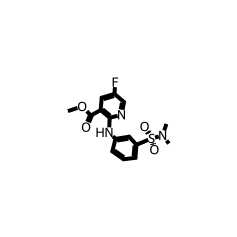 COC(=O)c1cc(F)cnc1Nc1cccc(S(=O)(=O)N(C)C)c1